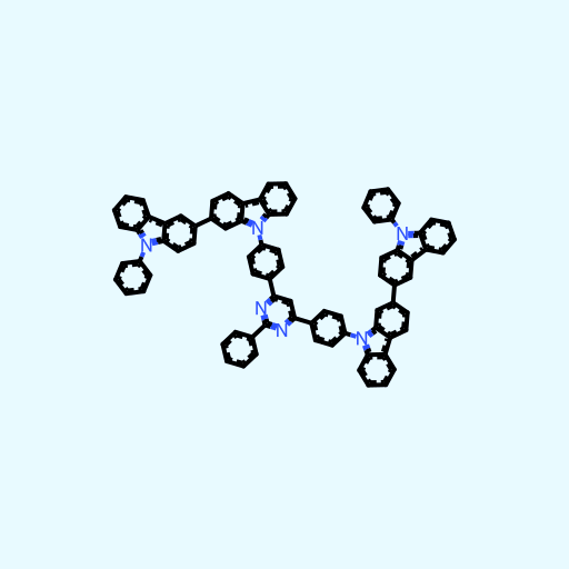 c1ccc(-c2nc(-c3ccc(-n4c5ccccc5c5ccc(-c6ccc7c(c6)c6ccccc6n7-c6ccccc6)cc54)cc3)cc(-c3ccc(-n4c5ccccc5c5ccc(-c6ccc7c(c6)c6ccccc6n7-c6ccccc6)cc54)cc3)n2)cc1